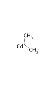 [CH2]CC.[Cd]